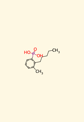 CCCCCc1c(C)cccc1P(=O)(O)O